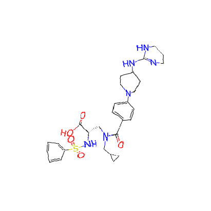 O=C(O)[C@H](CN(CC1CC1)C(=O)c1ccc(N2CCC(NC3=NCCCN3)CC2)cc1)NS(=O)(=O)c1ccccc1